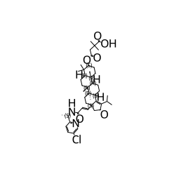 CC(C)C1=C2[C@H]3CC[C@@H]4[C@@]5(C)CC[C@H](OC(=O)CC(C)(C)C(=O)O)C(C)(C)[C@@H]5CC[C@@]4(C)[C@]3(C)CC[C@@]2(C=CC(=O)N[C@@H](C)c2ccc(Cl)cn2)CC1=O